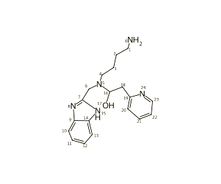 NCCCCN(Cc1nc2ccccc2[nH]1)C(O)Cc1ccccn1